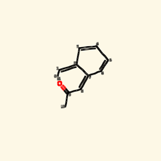 C/C=c1/cccc/c1=C/C(C)=O